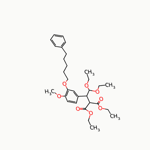 CCOC(=O)C(C(=O)OCC)C(c1ccc(OC)c(OCCCCCc2ccccc2)c1)C(OCC)OCC